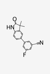 CC1(C)C(=O)Nc2ccc(-c3cc(F)cc(C#N)c3)cc21